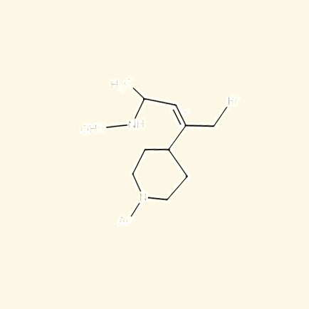 CC(=O)N1CCC(/C(=C\C(C)NC=O)CBr)CC1